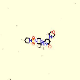 C[C@@H]1COCCN1c1cc(N2CCN(S(=O)(=O)N3CCCCC3)C[C@H]2C(F)(F)F)[nH]c(=O)c1